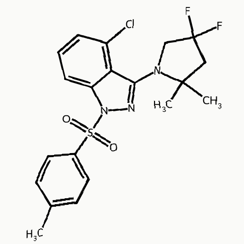 Cc1ccc(S(=O)(=O)n2nc(N3CC(F)(F)CC3(C)C)c3c(Cl)cccc32)cc1